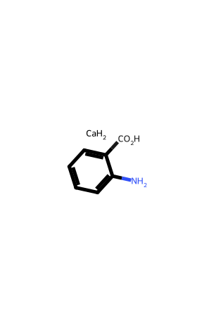 Nc1ccccc1C(=O)O.[CaH2]